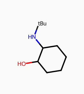 CC(C)(C)NC1CCCCC1O